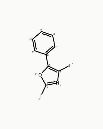 Ic1nc(I)c(-c2ccccc2)o1